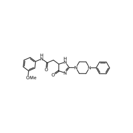 COc1cccc(NC(=O)CC2NC(N3CCN(c4ccccc4)CC3)=NC2=O)c1